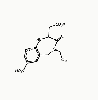 O=C(O)CC1Nc2ccc(C(=O)O)cc2CN(CC(F)(F)F)C1=O